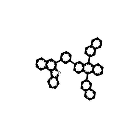 c1cc(-c2ccc3c(-c4ccc5ccccc5c4)c4ccccc4c(-c4ccc5ccccc5c4)c3c2)cc(-c2cc3ccccc3c3c2oc2ccccc23)c1